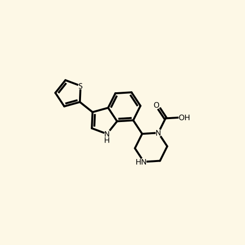 O=C(O)N1CCNCC1c1cccc2c(-c3cccs3)c[nH]c12